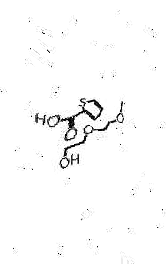 COCCOCCO.O=C(O)c1cccs1